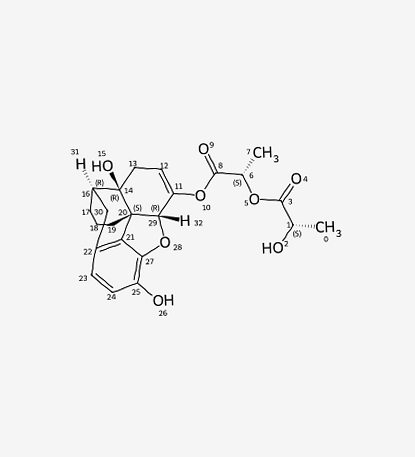 C[C@H](O)C(=O)O[C@@H](C)C(=O)OC1=CC[C@@]2(O)[C@@H]3CCC[C@@]24c2c(ccc(O)c2O[C@@H]14)C3